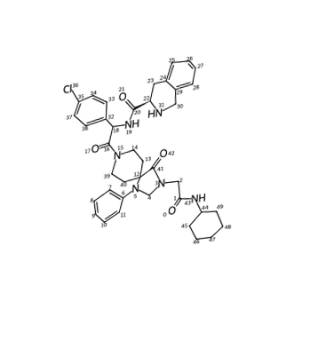 O=C(CN1CN(c2ccccc2)C2(CCN(C(=O)C(NC(=O)[C@H]3Cc4ccccc4CN3)c3ccc(Cl)cc3)CC2)C1=O)NC1CCCCC1